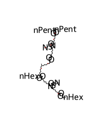 CCCCCC/C=C\COC(=O)CCCCCCCN(CCCCCCCC(=O)OC(CCCCCC)CCCCCCC(C)CCCC/C=C\COC(=O)CCCCCCCN(CCCCCCCC(=O)OC(CCCCC)CCCCC)C(=O)SCCN(C)C)C(=O)SCCN(C)C